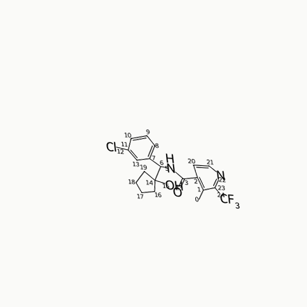 Cc1c(C(=O)NC(c2cccc(Cl)c2)C2(O)CCCC2)ccnc1C(F)(F)F